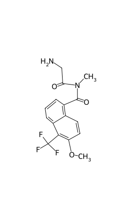 COc1ccc2c(C(=O)N(C)C(=O)CN)cccc2c1C(F)(F)F